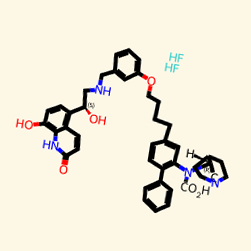 F.F.O=C(O)N(c1cc(CCCCOc2cccc(CNC[C@@H](O)c3ccc(O)c4[nH]c(=O)ccc34)c2)ccc1-c1ccccc1)[C@H]1CN2CCC1CC2